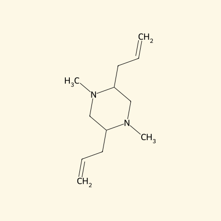 C=CCC1CN(C)C(CC=C)CN1C